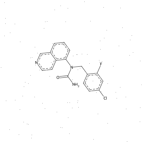 NC(=O)N(Cc1ccc(Cl)cc1F)c1cccc2cnccc12